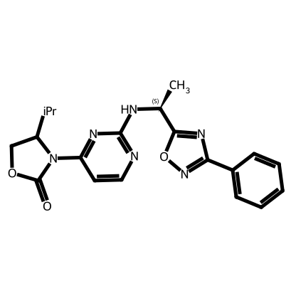 CC(C)C1COC(=O)N1c1ccnc(N[C@@H](C)c2nc(-c3ccccc3)no2)n1